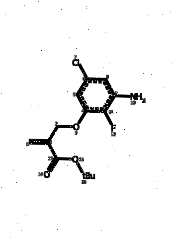 C=C(COc1cc(Cl)cc(N)c1F)C(=O)OC(C)(C)C